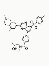 Cc1ccc(S(=O)(=O)n2cc(-c3ccc(C(=O)N(C)C[C@H](C)O)cc3)c3nc(-c4cc(C)c5c(c4)CN(C)CC5)cnc32)cc1